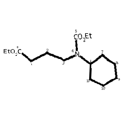 CCOC(=O)CCCN(C(=O)OCC)C1CCCCC1